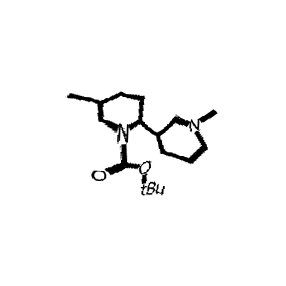 CC1CCC(C2CCCN(C)C2)N(C(=O)OC(C)(C)C)C1